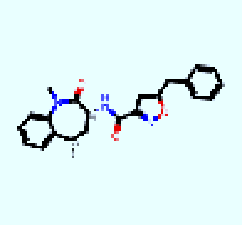 C[C@H]1C[C@@H](NC(=O)c2cc(Cc3ccccc3)on2)C(=O)N(C)c2ccccc21